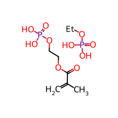 C=C(C)C(=O)OCCOP(=O)(O)O.CCOP(=O)(O)O